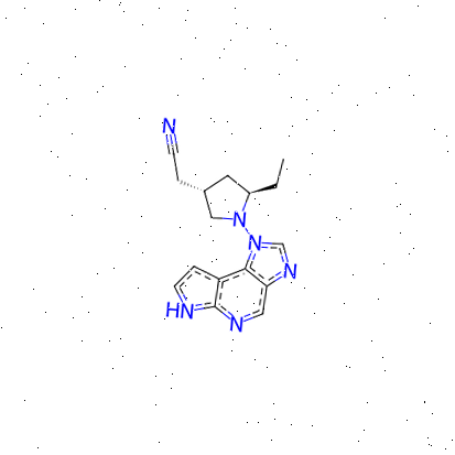 CC[C@@H]1C[C@@H](CC#N)CN1n1cnc2cnc3[nH]ccc3c21